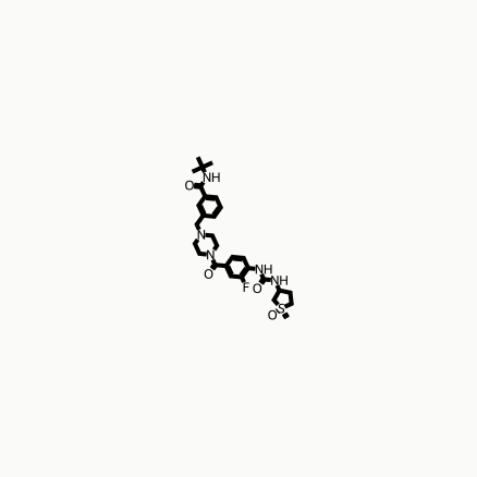 C=S1(=O)CCC(NC(=O)Nc2ccc(C(=O)N3CCN(Cc4cccc(C(=O)NC(C)(C)C)c4)CC3)cc2F)C1